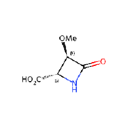 CO[C@H]1C(=O)N[C@@H]1C(=O)O